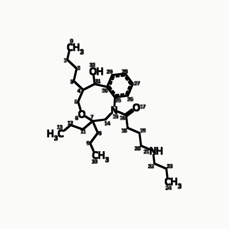 CCCCC1COC(CCC)(CCC)CN(C(=O)CCCNCCC)c2ccccc2C1O